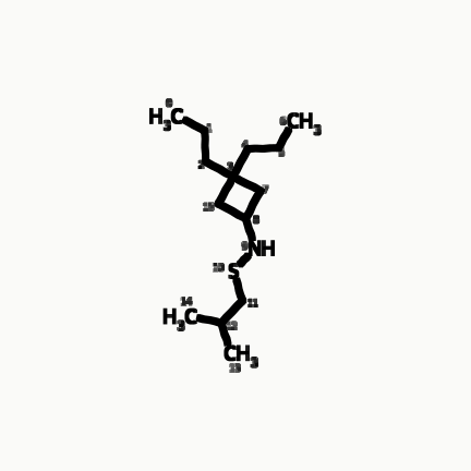 CCCC1(CCC)CC(NSCC(C)C)C1